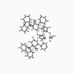 Cc1cc(-c2ccccc2-c2csc(-c3nc(-c4ccccc4-c4cc(C)cc(-n5c6ccccc6c6ccccc65)c4[O-])cs3)n2)c([O-])c(-n2c3ccccc3c3ccccc32)c1.[CH3][Hf+2][CH3]